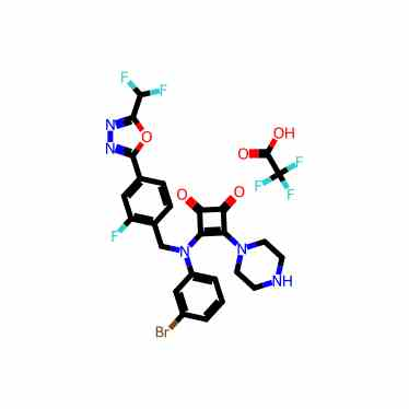 O=C(O)C(F)(F)F.O=c1c(N2CCNCC2)c(N(Cc2ccc(-c3nnc(C(F)F)o3)cc2F)c2cccc(Br)c2)c1=O